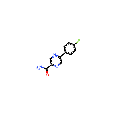 NC(=O)c1cnc(-c2ccc(F)cc2)cn1